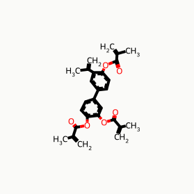 C=C(C)C(=O)Oc1ccc(-c2ccc(OC(=O)C(=C)C)c(C(=C)C)c2)cc1OC(=O)C(=C)C